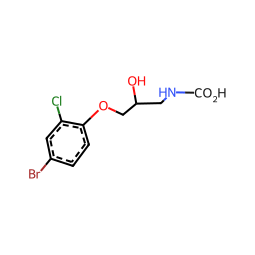 O=C(O)NCC(O)COc1ccc(Br)cc1Cl